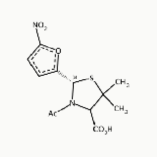 CC(=O)N1C(C(=O)O)C(C)(C)S[C@H]1c1ccc([N+](=O)[O-])o1